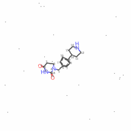 O=C1CCN(Cc2ccc(C3CCNCC3)cc2)C(=O)N1